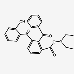 CCN(CC)OC(=O)c1cccc(C(=O)c2ccccc2O)c1C(=O)c1ccccc1